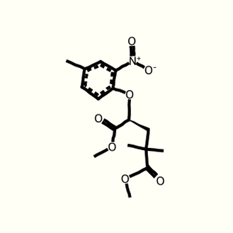 COC(=O)[C@H](CC(C)(C)C(=O)OC)Oc1ccc(C)cc1[N+](=O)[O-]